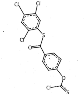 O=C(Sc1cc(Cl)c(Cl)cc1Cl)c1ccc(OC(=S)Cl)cc1